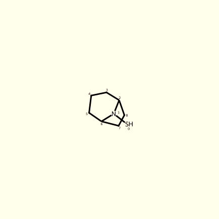 SN1C2CCCC1CC2